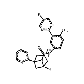 Cc1ccc(NC(=O)N2[C@@H]3C[C@@H](C)C[C@@]2(c2ncccn2)C3)cc1-c1ncc(F)cn1